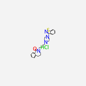 Cl.O=C1c2ccccc2CCCN1CCCCN1CCN(c2nsc3ccccc23)CC1